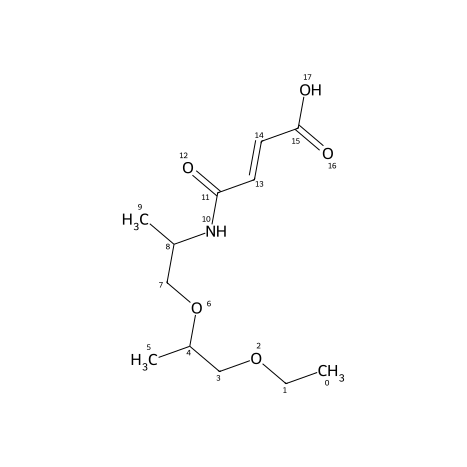 CCOCC(C)OCC(C)NC(=O)C=CC(=O)O